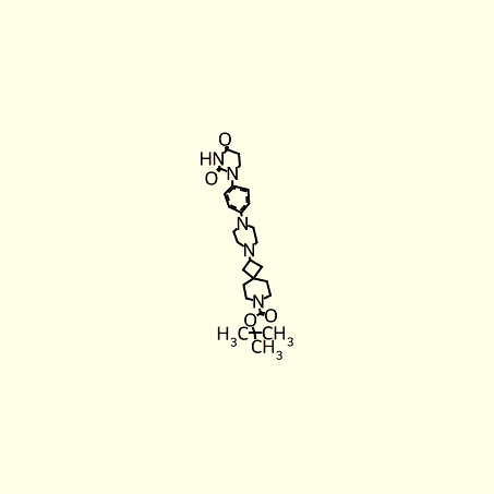 CC(C)(C)OC(=O)N1CCC2(CC1)CC(N1CCN(c3ccc(N4CCC(=O)NC4=O)cc3)CC1)C2